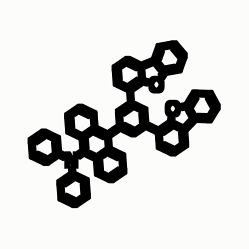 c1ccc(N(c2ccccc2)c2c3ccccc3c(-c3cc(-c4cccc5c4oc4ccccc45)cc(-c4cccc5c4oc4ccccc45)c3)c3ccccc23)cc1